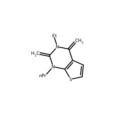 C=C1c2ccsc2N(CCC)C(=C)N1CC